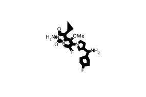 COc1c(N2CCC(C(N)c3ccc(F)cc3)C2)c(F)cn2c(=O)n(N)c(=O)c(C3CC3)c12